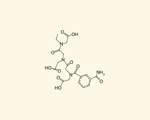 CCN(CC(=O)O)C(=O)CN(CC(=O)O)C(=O)CN(CC(=O)O)C(=O)c1cccc(C(N)=O)c1